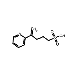 C=C(CCCS(=O)(=O)O)c1ccccn1